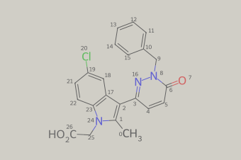 Cc1c(-c2ccc(=O)n(Cc3ccccc3)n2)c2cc(Cl)ccc2n1CC(=O)O